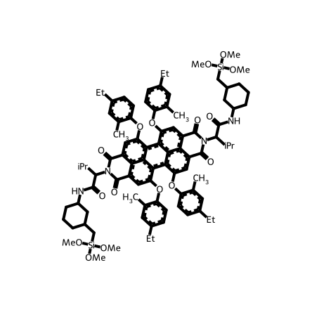 CCc1ccc(Oc2cc3c4c(cc(Oc5ccc(CC)cc5C)c5c6c(Oc7ccc(CC)cc7C)cc7c8c(cc(Oc9ccc(CC)cc9C)c(c2c45)c86)C(=O)N(C(C(=O)NC2CCCC(C[Si](OC)(OC)OC)C2)C(C)C)C7=O)C(=O)N(C(C(=O)NC2CCCC(C[Si](OC)(OC)OC)C2)C(C)C)C3=O)c(C)c1